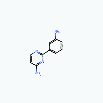 Nc1cccc(-c2nccc(N)n2)c1